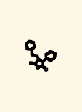 O=C1OC(=O)C(c2ccccc2)=C1C=Cc1ccccc1